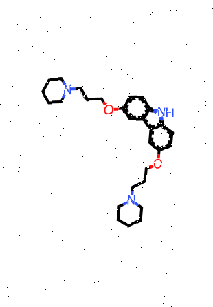 c1cc2[nH]c3ccc(OCCCN4CCCCC4)cc3c2cc1OCCCN1CCCCC1